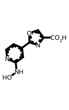 O=C(O)c1coc(-c2ccnc(NO)c2)n1